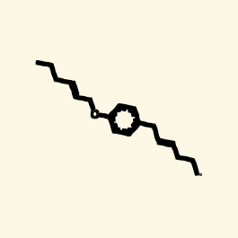 [CH2]CCC=CCc1ccc(OCC=CCCC)cc1